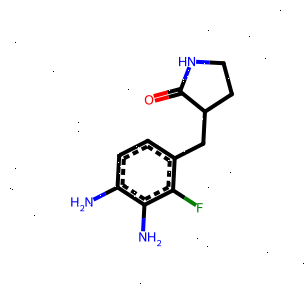 Nc1ccc(CC2CCNC2=O)c(F)c1N